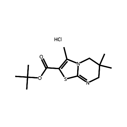 CC1=C(C(=O)OC(C)(C)C)SC2=NCC(C)(C)CN21.Cl